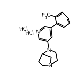 Cl.Cl.FC(F)(F)c1ccccc1-c1cncc(N2CCN3CCC2C3)c1